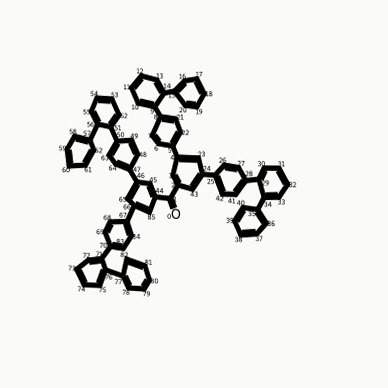 O=C(c1cc(-c2ccc(-c3ccccc3-c3ccccc3)cc2)cc(-c2ccc(-c3ccccc3-c3ccccc3)cc2)c1)c1cc(-c2ccc(-c3ccccc3-c3ccccc3)cc2)cc(-c2ccc(-c3ccccc3-c3ccccc3)cc2)c1